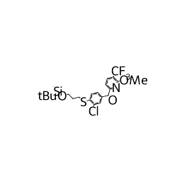 COc1nc(C(=O)c2ccc(SCCCO[Si](C)(C)C(C)(C)C)c(Cl)c2)ccc1C(F)(F)F